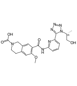 COc1cc2c(cc1C(=O)Nc1cccc(-c3nnnn3[C@H](C)CO)n1)CN(C(=O)O)CC2